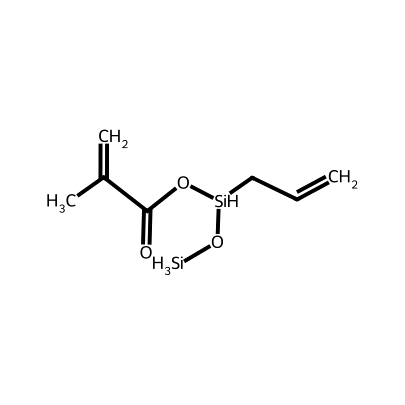 C=CC[SiH](O[SiH3])OC(=O)C(=C)C